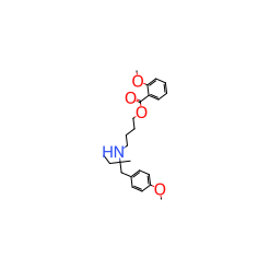 CCC(C)(Cc1ccc(OC)cc1)NCCCCOC(=O)c1ccccc1OC